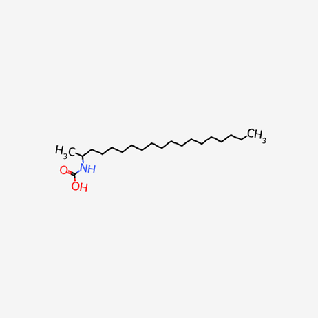 CCCCCCCCCCCCCCCCCC(C)NC(=O)O